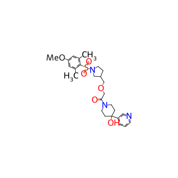 COc1cc(C)c(S(=O)(=O)N2CCC(COCC(=O)N3CCC(O)(c4cccnc4)CC3)C2)c(C)c1